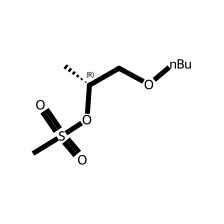 CCCCOC[C@@H](C)OS(C)(=O)=O